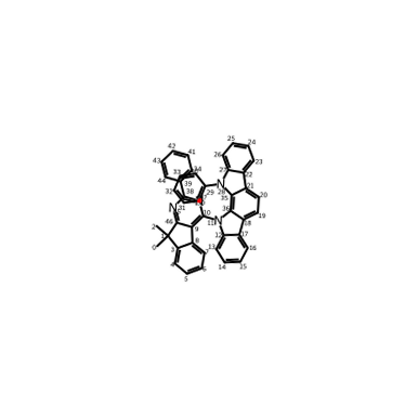 CC1(C)c2ccccc2-c2c(-n3c4ccccc4c4ccc5c6ccccc6n(-c6ccccc6)c5c43)nc(-c3ccccc3)nc21